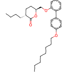 CCCCCCCCOc1ccc(-c2ccccc2OC[C@@H]2CC[C@@H](CCCC)C(=O)O2)cc1